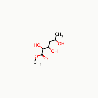 COC(=O)C(O)C(O)CC(C)O